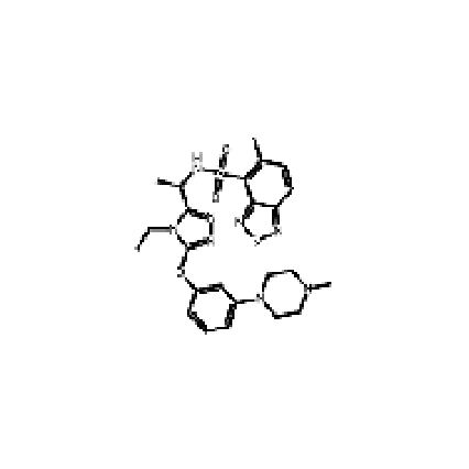 CCn1c(Oc2cccc(N3CCN(C)CC3)c2)nnc1[C@@H](C)NS(=O)(=O)c1c(C)ccc2nsnc12